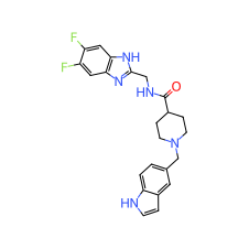 O=C(NCc1nc2cc(F)c(F)cc2[nH]1)C1CCN(Cc2ccc3[nH]ccc3c2)CC1